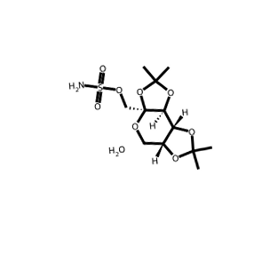 CC1(C)O[C@@H]2[C@@H](CO[C@@]3(COS(N)(=O)=O)OC(C)(C)O[C@@H]23)O1.O